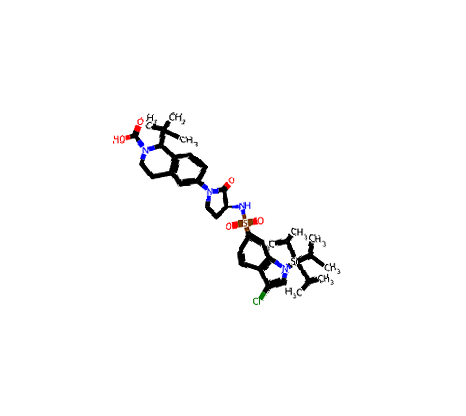 CC(C)[Si](C(C)C)(C(C)C)n1cc(Cl)c2ccc(S(=O)(=O)N[C@H]3CCN(c4ccc5c(c4)CCN(C(=O)O)C5C(C)(C)C)C3=O)cc21